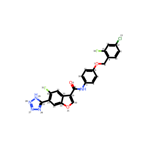 O=C(Nc1ccc(OCc2ccc(Cl)cc2F)cc1)c1coc2cc(-c3nnn[nH]3)c(F)cc12